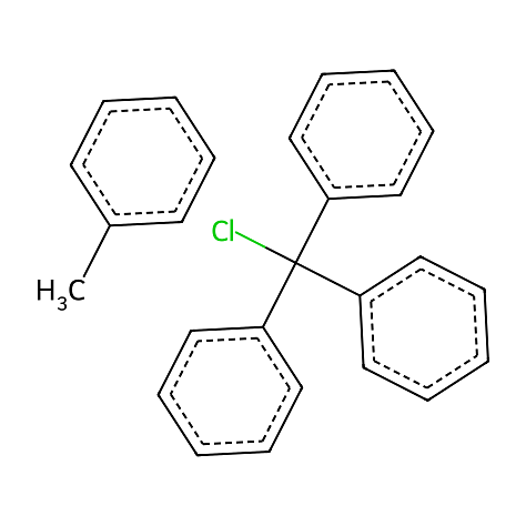 Cc1ccccc1.ClC(c1ccccc1)(c1ccccc1)c1ccccc1